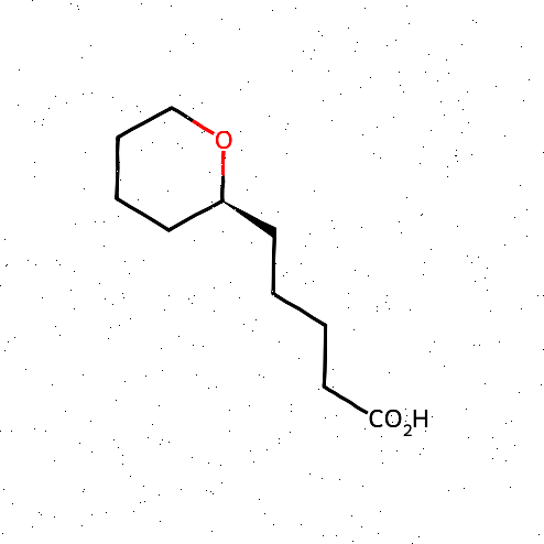 O=C(O)CCCC[C@H]1CCCCO1